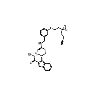 C#CCCC1(CCOc2cccc(CNC3=C[C@@H](N(CC)C(=O)c4cc5ccccc5[nH]4)CCC3)c2)N=N1